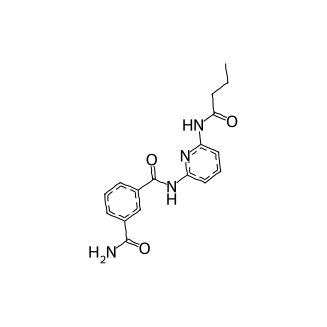 CCCC(=O)Nc1cccc(NC(=O)c2cccc(C(N)=O)c2)n1